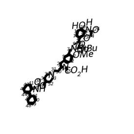 COc1cc2c(cc1CNC[C@H](O[Si](C)(C)C(C)(C)C)c1ccc(O)c3c1OCC(=O)N3)CC(CCN1CCC(OC(=O)Nc3ccccc3-c3ccccc3)CC1)N2C(=O)O